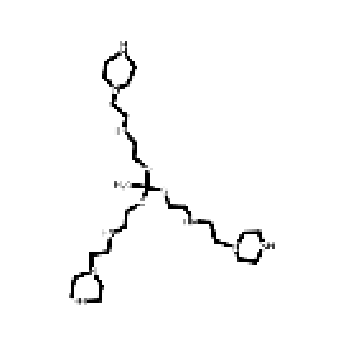 CC(OCCNCCN1CCNCC1)(OCCNCCN1CCNCC1)OCCNCCN1CCNCC1